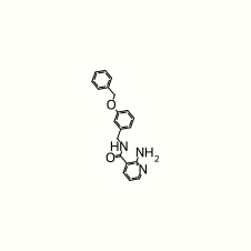 Nc1ncccc1C(=O)NCc1cccc(OCc2ccccc2)c1